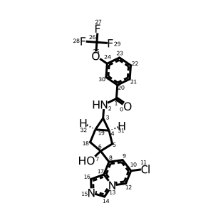 O=C(NC1[C@H]2CC(O)(c3cc(Cl)cn4cncc34)C[C@@H]12)c1cccc(OC(F)(F)F)c1